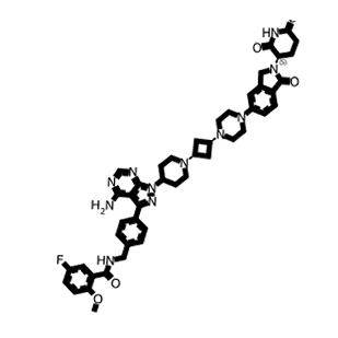 COc1ccc(F)cc1C(=O)NCc1ccc(-c2nn(C3CCN([C@H]4C[C@@H](N5CCN(c6ccc7c(c6)CN([C@H]6CCC(=O)NC6=O)C7=O)CC5)C4)CC3)c3ncnc(N)c23)cc1